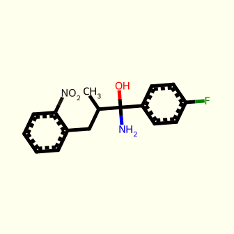 CC(Cc1ccccc1[N+](=O)[O-])C(N)(O)c1ccc(F)cc1